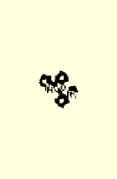 CN1CC2CCC1(C(NC(=O)c1ccccc1-n1cccn1)c1ccccc1)CC2